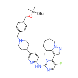 C[C@@H]1CCCCn2ncc(-c3nc(Nc4ccc(C5CCN(Cc6ccc(CO[Si](C)(C)C(C)(C)C)cc6)CC5)cn4)ncc3F)c21